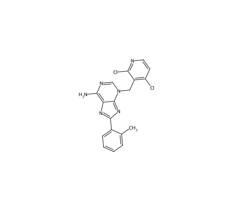 Cc1ccccc1-c1nc2c(N)ncn(Cc3c(Cl)ccnc3Cl)c-2n1